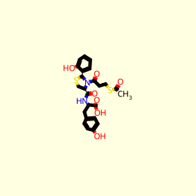 CC(=O)SCCC(=O)N1[C@@H](c2ccccc2O)SC[C@H]1C(=O)NC(Cc1ccc(O)cc1)C(=O)O